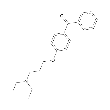 CCN(CC)CCCOc1ccc(C(=O)c2ccccc2)cc1